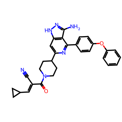 N#CC(=CC1CC1)C(=O)N1CCC(c2cc3[nH]nc(N)c3c(-c3ccc(Oc4ccccc4)cc3)n2)CC1